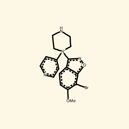 COc1ccc2c([N+]3(c4ccncc4)CCNCC3)noc2c1Br